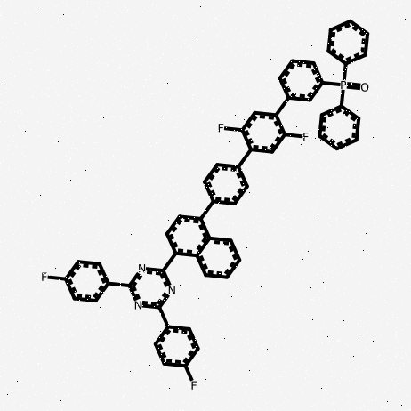 O=P(c1ccccc1)(c1ccccc1)c1cccc(-c2cc(F)c(-c3ccc(-c4ccc(-c5nc(-c6ccc(F)cc6)nc(-c6ccc(F)cc6)n5)c5ccccc45)cc3)cc2F)c1